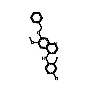 COc1cc2c(Nc3ccc(Cl)cc3F)ccnc2cc1OCc1ccccc1